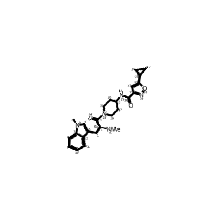 CN[C@@H](Cc1cn(C)c2ccccc12)C(=O)N1CCC(NC(=O)c2cc(C3CC3)on2)CC1